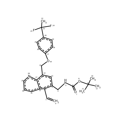 C=Cc1c(CNC(=O)OC(C)(C)C)cc(COc2ccc(C(C)(F)F)cc2)c2ncccc12